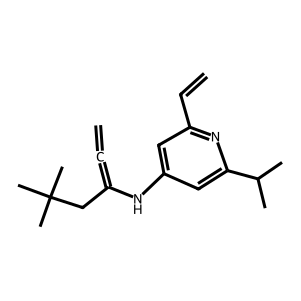 C=C=C(CC(C)(C)C)Nc1cc(C=C)nc(C(C)C)c1